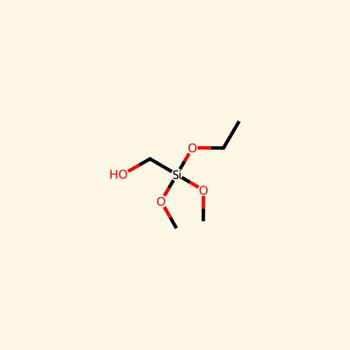 CCO[Si](CO)(OC)OC